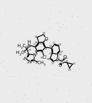 Cc1nnc2n1-c1c(Cl)c(-c3cccc4c3ccn4S(=O)(=O)C3CC3)c3c(c1NC2(C)C)CCO3